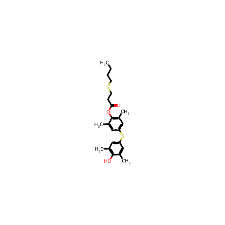 CCCCSCCC(=O)Oc1c(C)cc(Sc2cc(C)c(O)c(C)c2)cc1C